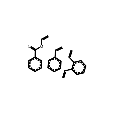 C=COC(=O)c1ccccc1.C=Cc1ccccc1.C=Cc1ccccc1C=C